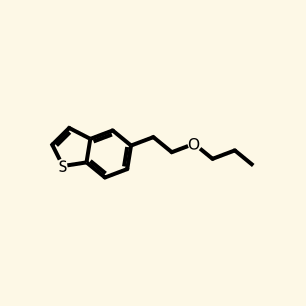 CCCOCCc1ccc2sccc2c1